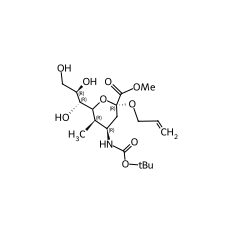 C=CCO[C@]1(C(=O)OC)C[C@@H](NC(=O)OC(C)(C)C)[C@@H](C)C([C@H](O)[C@H](O)CO)O1